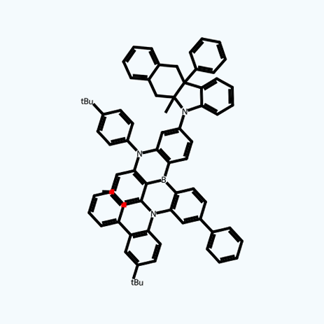 Cc1cc2c3c(c1)N(c1ccc(C(C)(C)C)cc1-c1ccccc1)c1cc(-c4ccccc4)ccc1B3c1ccc(N3c4ccccc4C4(c5ccccc5)Cc5ccccc5CC34C)cc1N2c1ccc(C(C)(C)C)cc1